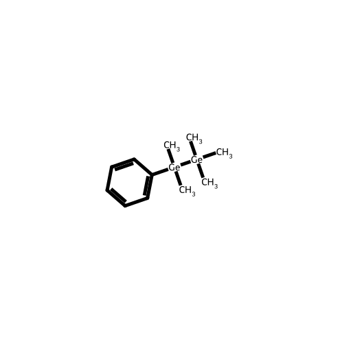 [CH3][Ge]([CH3])([CH3])[Ge]([CH3])([CH3])[c]1ccccc1